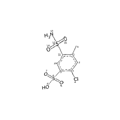 Cc1cc(Cl)c(S(=O)(=O)O)cc1S(N)(=O)=O